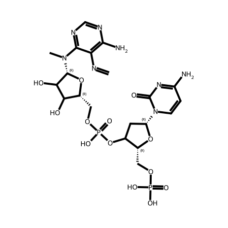 C=Nc1c(N)ncnc1N(C)[C@@H]1O[C@H](COP(=O)(O)OC2C[C@H](n3ccc(N)nc3=O)O[C@@H]2COP(=O)(O)O)C(O)C1O